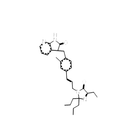 CCCC1(CCC)N=C(CC)C(=O)N1C/C=C/c1ccc2c(c1)C[C@@]1(C2)C(=O)Nc2ncccc21